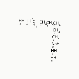 C.C.C.C.C.C.[HH].[HH].[HH].[HH].[NaH]